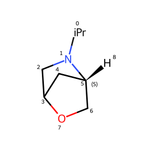 CC(C)N1CC2C[C@H]1CO2